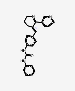 O=C(Nc1ccccc1)Nc1ccc(/C=C2\CCCN=C2c2cccnc2)cc1